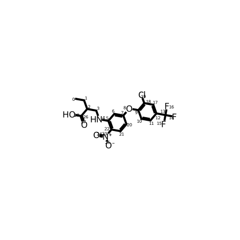 CCC(CNc1cc(Oc2ccc(C(F)(F)F)cc2Cl)ccc1[N+](=O)[O-])C(=O)O